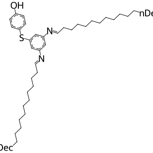 CCCCCCCCCCCCCCCCCCCCCC=Nc1cc(N=CCCCCCCCCCCCCCCCCCCCCC)cc(Sc2ccc(O)cc2)c1